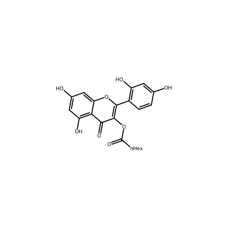 CCCCCCC(=O)Oc1c(-c2ccc(O)cc2O)oc2cc(O)cc(O)c2c1=O